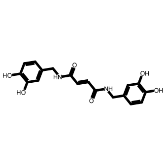 O=C(/C=C/C(=O)NCc1ccc(O)c(O)c1)NCc1ccc(O)c(O)c1